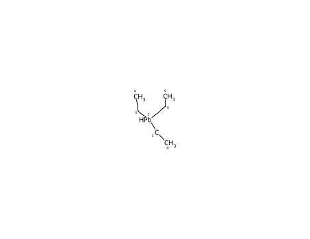 C[CH2][PbH]([CH2]C)[CH2]C